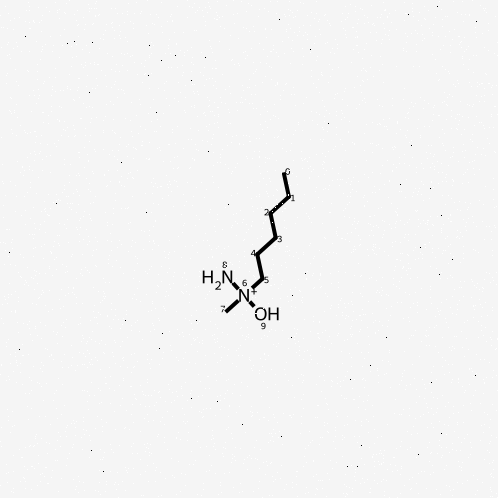 CCCCCC[N+](C)(N)O